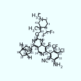 CN1CC[C@H](C(F)F)[C@](C)(COc2nc(N3C[C@H]4CC[C@@H](C3)N4)c3cnc(-c4c(C#N)c(N)cc(Cl)c4C(F)(F)F)c(F)c3n2)C1